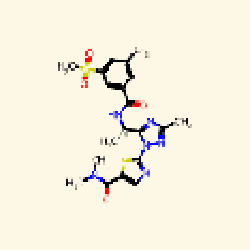 Cc1nc([C@H](C)NC(=O)c2cc(C(F)(F)F)cc(S(C)(=O)=O)c2)n(-c2ncc(C(=O)N(C)C)s2)n1